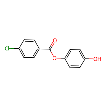 O=C(Oc1ccc(O)cc1)c1ccc(Cl)cc1